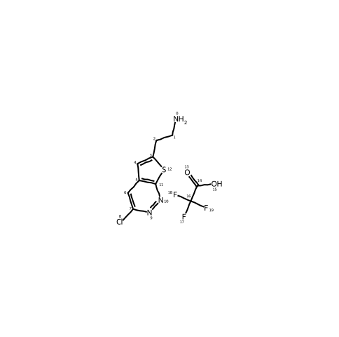 NCCc1cc2cc(Cl)nnc2s1.O=C(O)C(F)(F)F